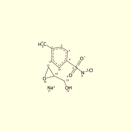 Cc1ccc(S(=O)(=O)[N-]Cl)cc1.OCC1CO1.[Na+]